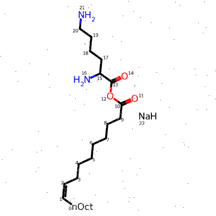 CCCCCCCC/C=C\CCCCCCCC(=O)OC(=O)C(N)CCCCN.[NaH]